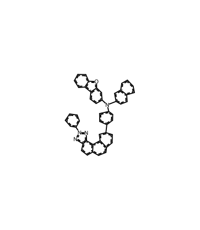 c1ccc(-n2nc3ccc4ccc5ccc(-c6ccc(N(c7ccc8ccccc8c7)c7ccc8c(c7)oc7ccccc78)cc6)cc5c4c3n2)cc1